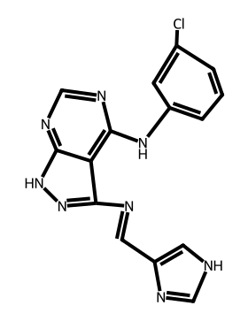 Clc1cccc(Nc2ncnc3[nH]nc(N=Cc4c[nH]cn4)c23)c1